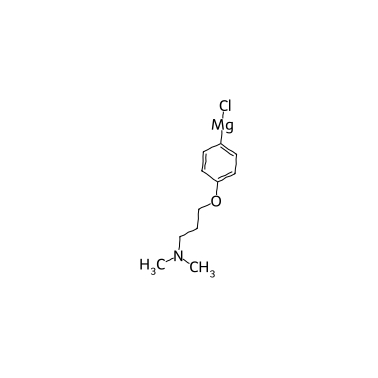 CN(C)CCCOc1cc[c]([Mg][Cl])cc1